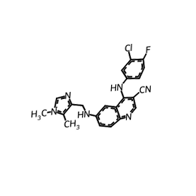 Cc1c(CNc2ccc3ncc(C#N)c(Nc4ccc(F)c(Cl)c4)c3c2)ncn1C